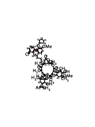 COc1ccc(N(CCS[C@@H]2C(=O)O[C@@]3(C)[C@H]2[C@@H](C)C(=O)[C@H](C)C[C@@](C)(OC)[C@H](O[C@@H]2O[C@H](C)C[C@H](N(C)C(C)=O)[C@H]2O)[C@@H](C)[C@H](O[C@H]2C[C@@](C)(OC)[C@@H](O)[C@H](C)O2)[C@@H](C)C(=O)O[C@@H]3I)Cc2c(Cl)cncc2Cl)cc1OC1CCCC1